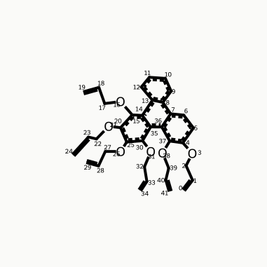 C=CCOc1ccc2c3ccccc3c3c(OCC=C)c(OCC=C)c(OCC=C)c(OCC=C)c3c2c1OCC=C